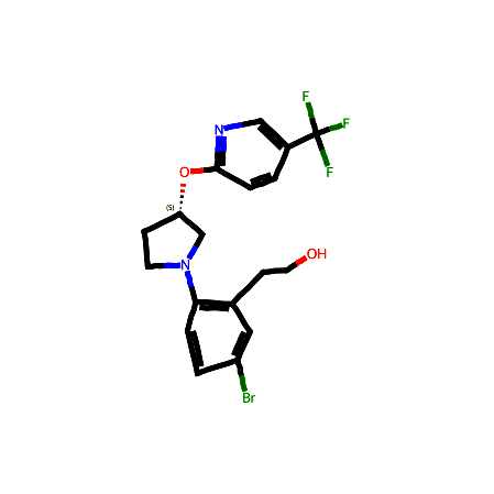 OCCc1cc(Br)ccc1N1CC[C@H](Oc2ccc(C(F)(F)F)cn2)C1